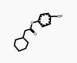 O=C(CC1CCCCC1)Oc1ccc(O)cc1